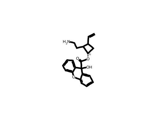 C=CC1C[C@H](OC(=O)C2(O)c3ccccc3Oc3ccccc32)C1CCN